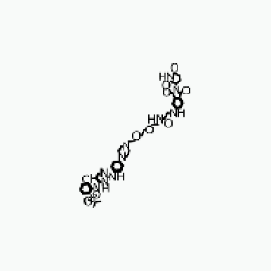 CC(C)S(=O)(=O)c1ccccc1Nc1nc(Nc2ccc(N3CCN(CCOCCOCCNC(=O)CNc4ccc5c(c4)C(=O)N(C4CCC(=O)NC4=O)C5=O)CC3)cc2)ncc1Cl